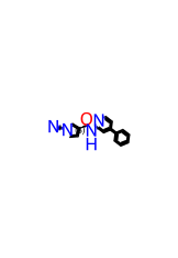 N#CN1CC[C@H](C(=O)Nc2cc(-c3ccccc3)ccn2)C1